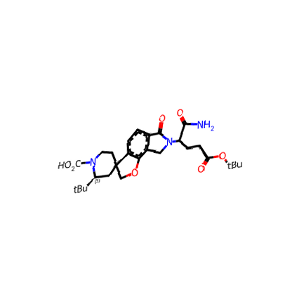 CC(C)(C)OC(=O)CCC(C(N)=O)N1Cc2c(ccc3c2OCC32CCN(C(=O)O)[C@H](C(C)(C)C)C2)C1=O